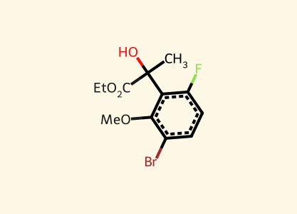 CCOC(=O)C(C)(O)c1c(F)ccc(Br)c1OC